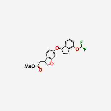 COC(=O)C[C@@H]1COc2cc(O[C@@H]3CCc4c(OC(F)F)cccc43)ccc21